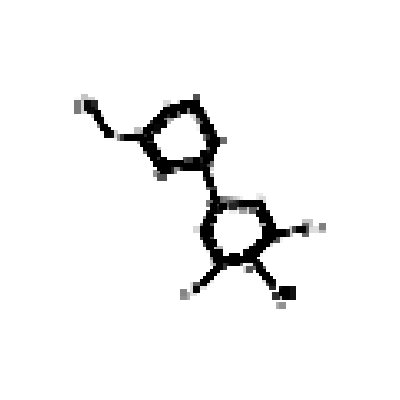 OCc1cccc(-c2cc(F)c(O)c(F)c2)c1